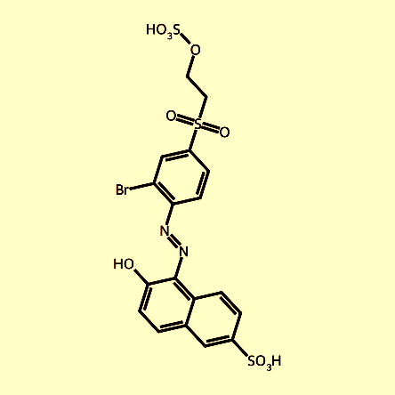 O=S(=O)(O)OCCS(=O)(=O)c1ccc(N=Nc2c(O)ccc3cc(S(=O)(=O)O)ccc23)c(Br)c1